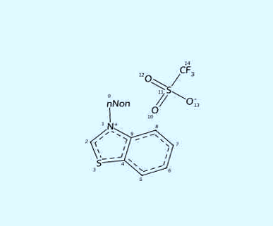 CCCCCCCCC[n+]1csc2ccccc21.O=S(=O)([O-])C(F)(F)F